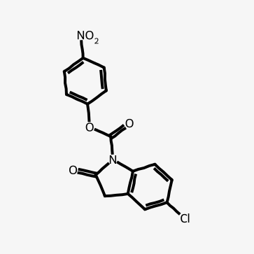 O=C1Cc2cc(Cl)ccc2N1C(=O)Oc1ccc([N+](=O)[O-])cc1